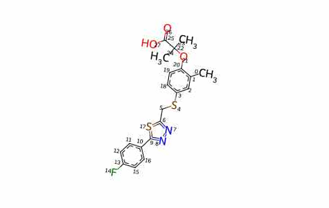 Cc1cc(SCc2nnc(-c3ccc(F)cc3)s2)ccc1OC(C)(C)C(=O)O